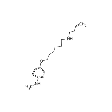 C=CCCNCCCCCCOc1ccc(NC)cc1